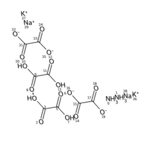 N.N.O=C(O)C(=O)O.O=C(O)C(=O)O.O=C([O-])C(=O)[O-].O=C([O-])C(=O)[O-].[K+].[K+].[Na+].[Na+]